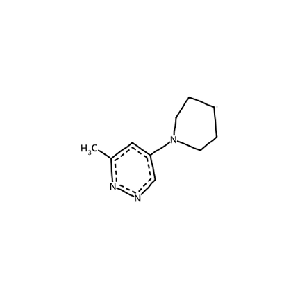 Cc1cc(N2CC[CH]CC2)cnn1